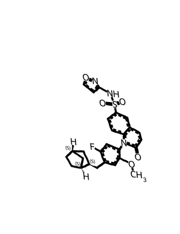 COc1cc(C[C@@H]2C[C@H]3CC[C@H]2C3)c(F)cc1-n1c(=O)ccc2cc(S(=O)(=O)Nc3ccon3)ccc21